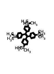 C[SiH](C)c1ccc(C(=C(c2ccc([SiH](C)C)cc2)c2ccc([SiH](C)C)cc2)c2ccc([SiH](C)C)cc2)cc1